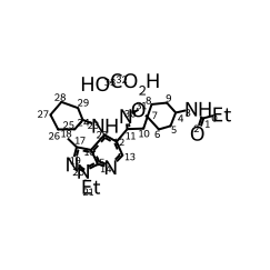 CCC(=O)NC1CCC2(CC1)CC(c1cnc3c(c(C)nn3CC)c1NC1CCCCC1)=NO2.O=C(O)O